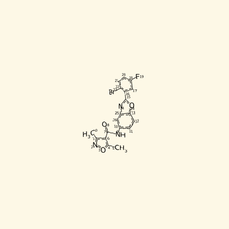 Cc1noc(C)c1C(=O)Nc1ccc2oc(-c3cc(F)ccc3Br)nc2c1